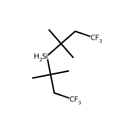 CC(C)(CC(F)(F)F)[SiH2]C(C)(C)CC(F)(F)F